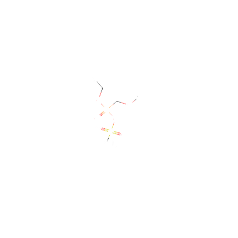 CCOP(=O)(COC)OS(C)(=O)=O